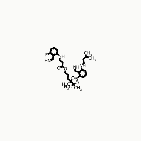 C=C(C)CCNc1cccc(B2OC(C)(C)C(C)(CCCOC(=O)CCNc3cccc(F)c3C=N)O2)c1C=N